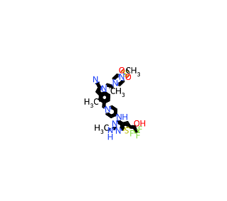 CNc1nc(NC2CCN(Cc3ccc4c(cc(C#N)n4C[C@H](C)N4CCN(S(C)(=O)=O)CC4)c3C)CC2)c2cc([C@H](O)C(F)(F)F)sc2n1